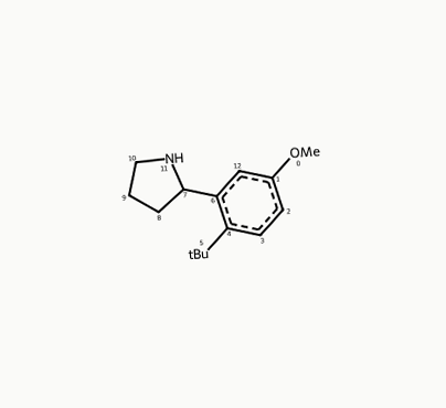 COc1ccc(C(C)(C)C)c(C2CCCN2)c1